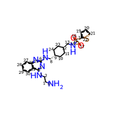 NCCNc1nc(NC[C@H]2CC[C@H](CNS(=O)(=O)c3cccs3)CC2)nc2ccccc12